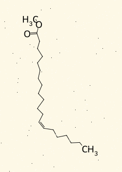 CCCCCC/C=C\CCCCCCCCCCCC(=O)OC